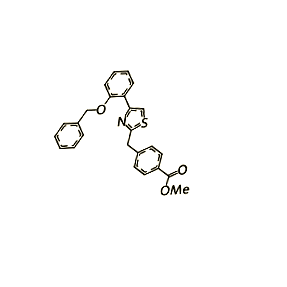 COC(=O)c1ccc(Cc2nc(-c3ccccc3OCc3ccccc3)cs2)cc1